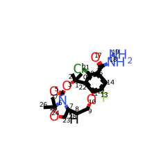 CC1(C)OC(=O)N2[C@H](CCOc3c(F)cc(C(=O)NN)c(Cl)c31)COC2(C)C